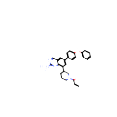 C=CC(=O)N1CCCC(c2cc(-c3ccc(Oc4ccccc4)cc3)cc3cnc(N)nc23)C1